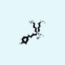 CCCCC[N+](C)(CCCCC)CCCCc1ccc(Cl)cc1.[Br-]